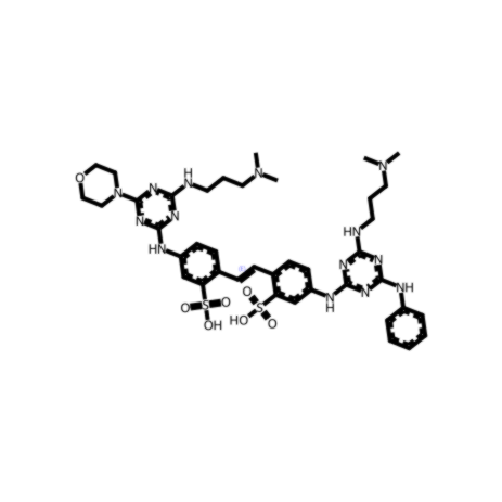 CN(C)CCCNc1nc(Nc2ccccc2)nc(Nc2ccc(/C=C/c3ccc(Nc4nc(NCCCN(C)C)nc(N5CCOCC5)n4)cc3S(=O)(=O)O)c(S(=O)(=O)O)c2)n1